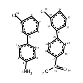 Nc1cnc(-c2cccc(Cl)c2)nc1.O=[N+]([O-])c1cnc(-c2cccc(Cl)c2)nc1